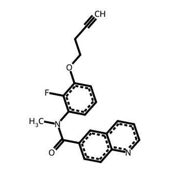 C#CCCOc1cccc(N(C)C(=O)c2ccc3ncccc3c2)c1F